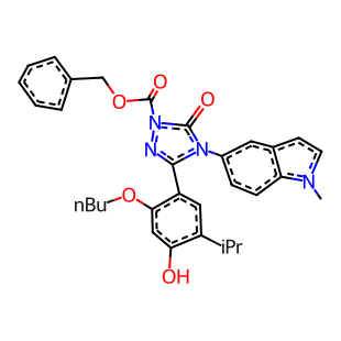 CCCCOc1cc(O)c(C(C)C)cc1-c1nn(C(=O)OCc2ccccc2)c(=O)n1-c1ccc2c(ccn2C)c1